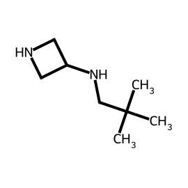 CC(C)(C)CNC1CNC1